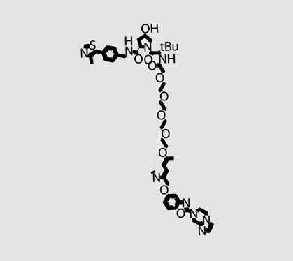 C=N/C(=C\C=C(/C)OCCOCCOCCOCCOCC(=O)N[C@H](C(=O)N1C[C@H](O)C[C@H]1C(=O)NCc1ccc(-c2scnc2C)cc1)C(C)(C)C)COc1ccc2oc(N3CCn4ccnc4C3)nc2c1